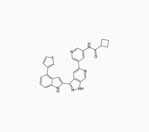 O=C(Nc1cncc(-c2cc3c(-c4cc5c(-c6ccsc6)cccc5[nH]4)n[nH]c3cn2)c1)C1CCC1